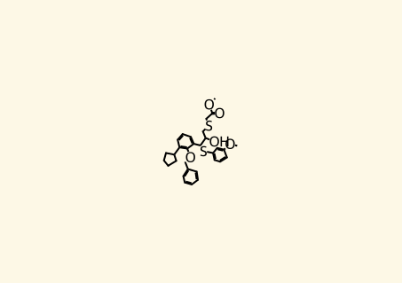 COC(=O)CSCC(O)C(Sc1cccc(OC)c1)c1cccc(C2CCCC2)c1OCc1ccccc1